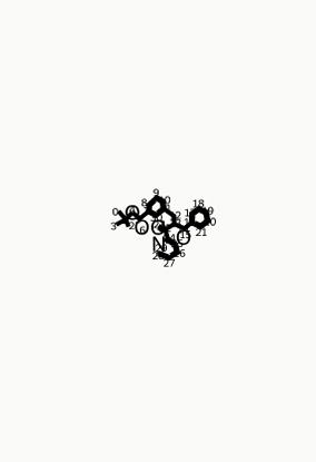 CC(C)(C)OC(=O)c1cccc(CC(C(=O)c2ccccc2)C(=O)c2ccccn2)c1